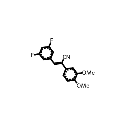 COc1ccc(/C(C#N)=C/c2cc(F)cc(F)c2)cc1OC